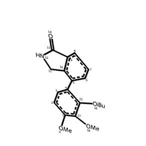 COc1ccc(-c2cccc3c2CNC3=O)c(OCC(C)C)c1OC